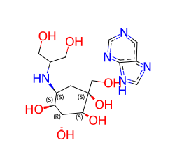 OCC(CO)N[C@H]1C[C@](O)(CO)[C@@H](O)[C@H](O)[C@H]1O.c1ncc2nc[nH]c2n1